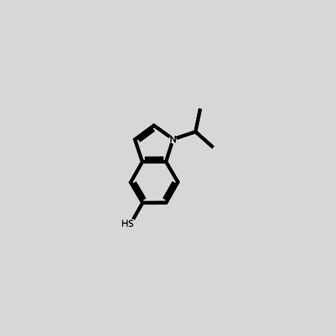 CC(C)n1ccc2cc(S)ccc21